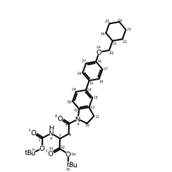 CC(C)(C)OC(=O)NC(CC(=O)N1CCc2cc(-c3ccc(OCC4CCCCC4)cc3)ccc21)C(=O)OC(C)(C)C